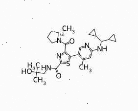 Cc1cc(NC(C2CC2)C2CC2)ncc1-c1sc(C(=O)NCC(C)(C)O)nc1C(=O)N1CCC[C@@H]1C